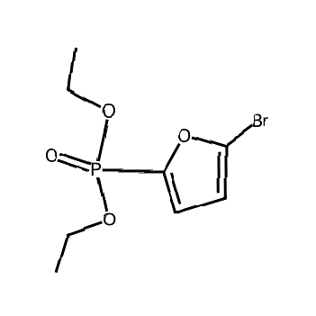 CCOP(=O)(OCC)c1ccc(Br)o1